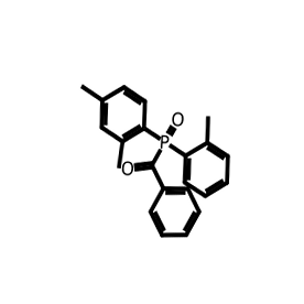 Cc1ccc(P(=O)(C(=O)c2ccccc2)c2ccccc2C)c(C)c1